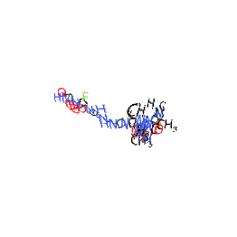 CCOc1cc(N2CCC(NCCNCC3CCN(c4cc(F)cc5c4oc(=O)n5C4CCC(=O)NC4=O)CC3)CC2)c(CC)cc1Nc1ncc(Br)c(Nc2ccc3nc(CC)ccc3c2P(C)(C)=O)n1